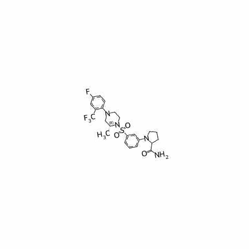 C[C@@H]1CN(c2ccc(F)cc2C(F)(F)F)CCN1S(=O)(=O)c1cccc(N2CCCC2C(N)=O)c1